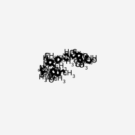 CCc1ccc2c(P(C)(C)=O)c(Nc3nc(Nc4cc(CC)c(N5CCC(N6CCN(C(=O)Cc7c(C)ccc8c7C(C)(C)C(=O)N8C7CCC(=O)NC7=O)CC6)CC5)cc4OC)ncc3Br)ccc2n1